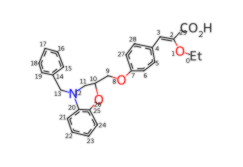 CCOC(=Cc1ccc(OCC2CN(Cc3ccccc3)c3ccccc3O2)cc1)C(=O)O